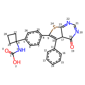 O=C(O)NC1(c2ccc(C3=C(c4ccccc4)C4C(=O)N=CN=C4S3)cc2)CCC1